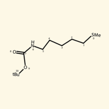 CSCCCCCNC(=O)OC(C)(C)C